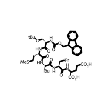 CC[C@H](C)[C@H](NC(=O)[C@H](CCSC)NC(=O)[C@H](COC(C)(C)C)NC(=O)OCC1c2ccccc2-c2ccccc21)C(=O)N[C@@H](CC(C)C)C(=O)N[C@@H](CCC(=O)O)C(=O)O